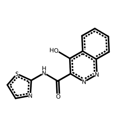 O=C(Nc1nccs1)c1nnc2ccccc2c1O